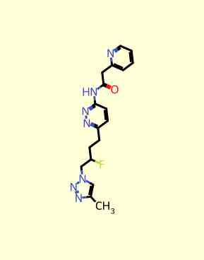 Cc1cn(CC(F)CCc2ccc(NC(=O)Cc3ccccn3)nn2)nn1